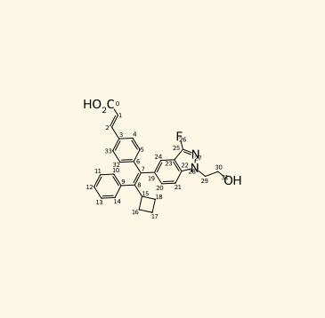 O=C(O)/C=C/c1ccc(/C(=C(\c2ccccc2)C2CCC2)c2ccc3c(c2)c(F)nn3CCO)cc1